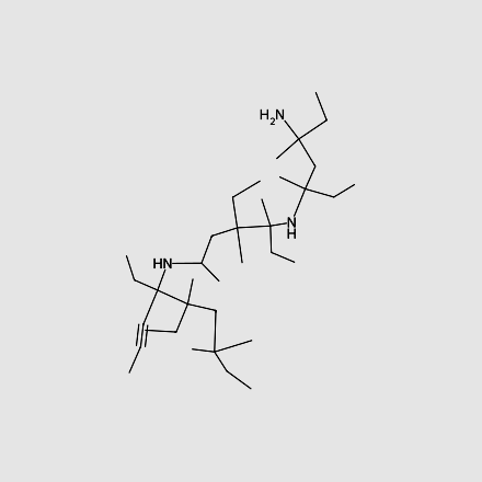 CC#CC(CC)(NC(C)CC(C)(CC)C(C)(CC)NC(C)(CC)CC(C)(N)CC)C(C)(CC)CC(C)(C)CC